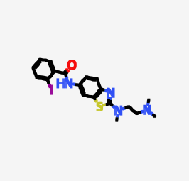 CN(C)CCN(C)c1nc2ccc(NC(=O)c3ccccc3I)cc2s1